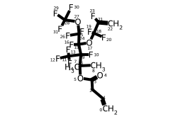 C=CCC(=O)OC(C)(C)C(F)(C(F)(F)F)C(F)(OC(F)(F)C(=C)F)C(F)(F)OC(F)(F)F